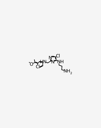 C=C/C(=C\C(Cl)=C(/C)OC)NCc1ncc(Cl)c(NCCCN)n1